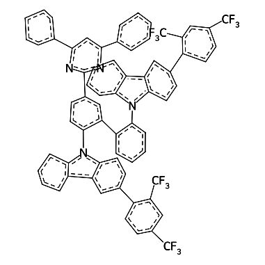 FC(F)(F)c1ccc(-c2ccc3c(c2)c2ccccc2n3-c2ccccc2-c2cc(-c3nc(-c4ccccc4)cc(-c4ccccc4)n3)ccc2-n2c3ccccc3c3cc(-c4ccc(C(F)(F)F)cc4C(F)(F)F)ccc32)c(C(F)(F)F)c1